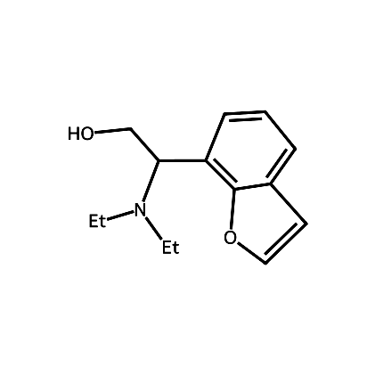 CCN(CC)C(CO)c1cccc2ccoc12